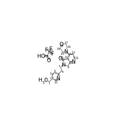 CCc1ccc(CCN2Cc3nccc(N4CCOCC4)c3C2=O)nc1.O=C(O)C(F)(F)F